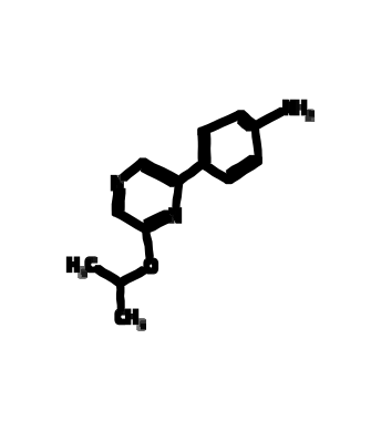 CC(C)Oc1cncc(-c2ccc(N)cc2)n1